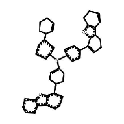 C1=CC(c2cccc(N(C3=CCC(c4cccc5c4oc4ccccc45)CC3)c3ccc(C4=CCCc5c4oc4c5C=CCC4)cc3)c2)CCC1